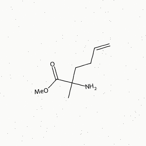 C=CCCC(C)(N)C(=O)OC